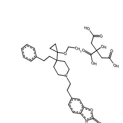 CCOC1(C2(CCc3ccccc3)CCN(CCc3ccc4[nH]c(=O)oc4c3)CC2)CC1.O=C(O)CC(O)(CC(=O)O)C(=O)O